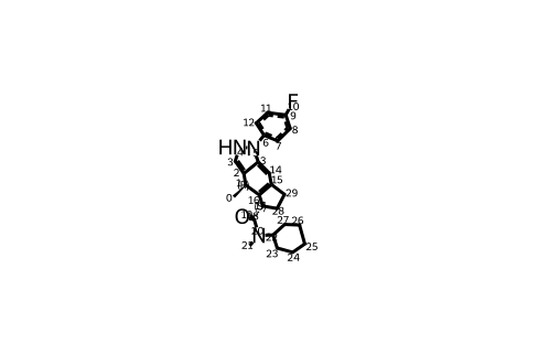 C[C@H]1C2=CNN(c3ccc(F)cc3)C2=CC2=C1[C@@H](C(=O)N(C)C1CCCCC1)CC2